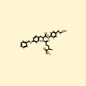 CC(C[CH]C(=O)NC(Cc1ccc(OCc2ccccc2)cc1)C(=O)Nc1ccc(CCO)cc1)C(N)=O